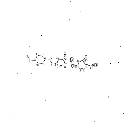 CC[C@H]1CC[C@H](CCc2ccc(C(=O)Oc3ccc(C#N)c(F)c3)c(F)c2)CC1